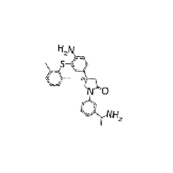 C=C(N)c1cccc(N2C[C@@H](c3ccc(N)c(Sc4c(C)cccc4C)c3)CC2=O)c1